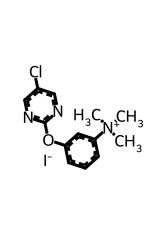 C[N+](C)(C)c1cccc(Oc2ncc(Cl)cn2)c1.[I-]